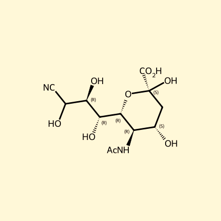 CC(=O)N[C@H]1[C@H]([C@H](O)[C@H](O)C(O)C#N)O[C@](O)(C(=O)O)C[C@@H]1O